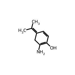 CC(C)=C1C=CC(O)=C(N)C1